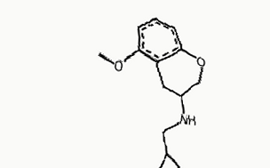 COc1cccc2c1CC(NCC1CCC1)CO2